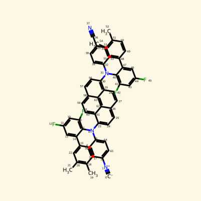 [C-]#[N+]c1ccc(N(c2c(F)cc(F)cc2-c2ccc(C)c(C)c2)c2ccc3ccc4c(N(c5ccc(C#N)cc5)c5c(F)cc(F)cc5-c5ccc(C)c(C)c5)ccc5ccc2c3c54)cc1